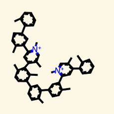 Cc1ccccc1-c1ccc(C)c(-c2cc(-c3c(C)ccc(-c4ccc(C)c(-c5ccc(C)c(-c6cc(-c7ccccc7C)c(C)c[n+]6C)c5)c4)c3C)c(C)c[n+]2C)c1